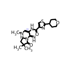 CN/C=C(/NC(=O)c1csc(C2CCOCC2)n1)C(=N)N1CCC(C)(C)C1=O